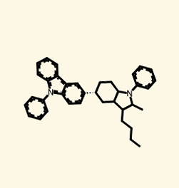 CCCCC1C2C[C@H](c3ccc4c(c3)c3ccccc3n4-c3ccccc3)CCC2N(c2ccccc2)C1C